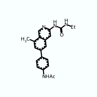 CCNC(=O)Nc1cc2cc(-c3ccc(NC(C)=O)cc3)cc(C)c2cn1